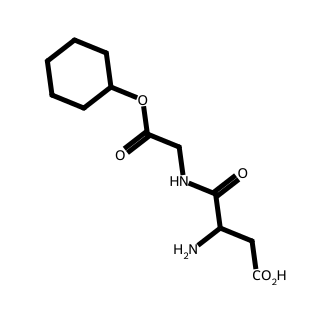 NC(CC(=O)O)C(=O)NCC(=O)OC1CCCCC1